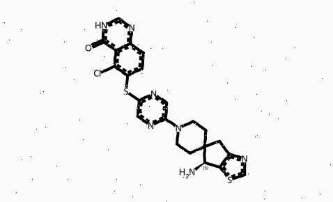 N[C@@H]1c2scnc2CC12CCN(c1cnc(Sc3ccc4nc[nH]c(=O)c4c3Cl)cn1)CC2